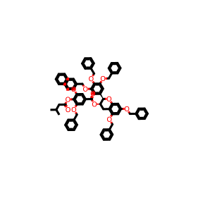 CC(C)CC(=O)Oc1c(OCc2ccccc2)cc(C(=O)O[C@@H]2Cc3c(OCc4ccccc4)cc(OCc4ccccc4)cc3O[C@@H]2c2cc(OCc3ccccc3)c(OCc3ccccc3)c(OCc3ccccc3)c2)cc1OCc1ccccc1